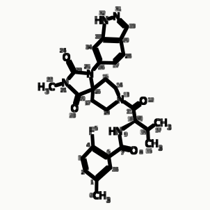 Cc1ccc(F)c(C(=O)N[C@@H](C(=O)N2CCC3(CC2)C(=O)N(C)C(=O)N3c2ccc3cn[nH]c3c2)C(C)C)c1